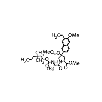 C=CCC(C)(C)CCOC(=O)N[C@H](C(=O)N1CC(OCOC)(c2ccc3cc(OC)c(C=C)cc3c2)CC1C(=O)OC)C(C)(C)C